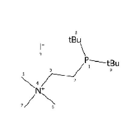 CC(C)(C)P(CC[N+](C)(C)C)C(C)(C)C.[I-]